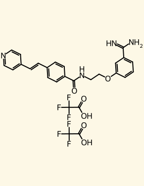 N=C(N)c1cccc(OCCNC(=O)c2ccc(/C=C/c3ccncc3)cc2)c1.O=C(O)C(F)(F)F.O=C(O)C(F)(F)F